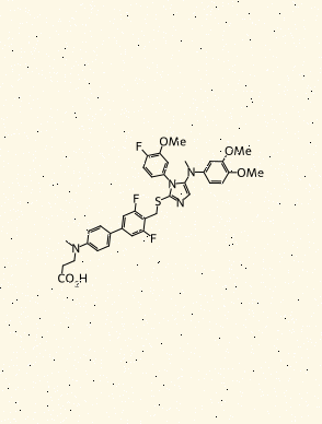 COc1cc(-n2c(N(C)c3ccc(OC)c(OC)c3)cnc2SCc2c(F)cc(-c3ccc(N(C)CCC(=O)O)cc3)cc2F)ccc1F